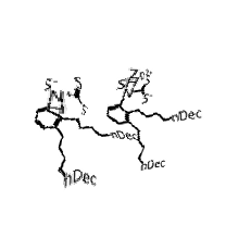 CCCCCCCCCCCCCCc1cccc([NH+]([S-])C(=S)[S-])c1CCCCCCCCCCCCCC.CCCCCCCCCCCCCCc1cccc([NH+]([S-])C(=S)[S-])c1CCCCCCCCCCCCCC.[Zn+2]